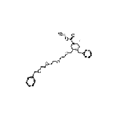 C[C@@H]1CN(Cc2ccccc2)[C@@H](COCCOCCOCCOCc2ccccc2)CN1C(=O)OC(C)(C)C